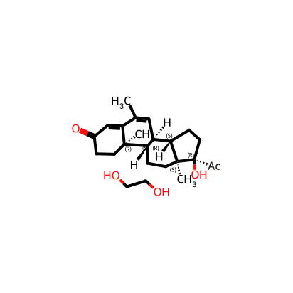 CC(=O)[C@@]1(O)CC[C@H]2[C@@H]3C=C(C)C4=CC(=O)CC[C@]4(C)[C@H]3CC[C@@]21C.OCCO